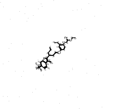 CCCC(CCOc1ccc(OCC(=O)OCC)c(CC)c1)c1sc2cc(C(F)(F)F)ccc2c1C